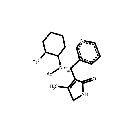 CC(=O)N([C@@H]1CCCCC1C)[C@@H](C1=C(C)CNC1=O)c1cccnc1